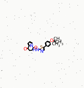 CC(C)(C)Oc1ccc(-c2cnc(NOC3CCC(=O)c4cccn43)s2)cc1